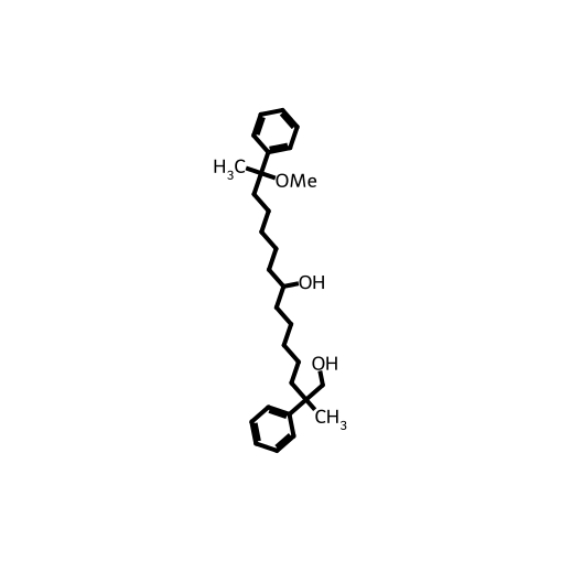 COC(C)(CCCCCC(O)CCCCCC(C)(CO)c1ccccc1)c1ccccc1